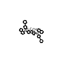 CC1(C)c2cc(N(c3ccc(-c4ccccc4)cc3)c3cccc4ccccc34)ccc2-c2ccc(N(c3ccc(C4CC=CCC4)cc3)c3cccc4ccccc34)cc21